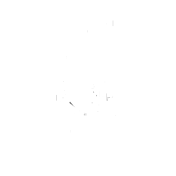 COc1ccc2c(c1)CC1CCCC[C@@]2(C)[C@H]1N